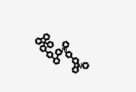 c1ccc(N(c2ccc(-c3ccc4c(c3)c3ccccc3n4-c3ccccc3)cc2)c2cccc(-c3ccccc3-c3ccc(-c4cccc(C5(c6ccccc6)c6ccccc6-c6ccccc65)c4)cc3)c2)cc1